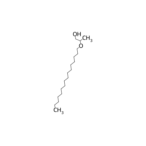 CCCCCCCCCCCCCCCCOC(C)CO